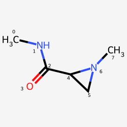 CNC(=O)C1CN1C